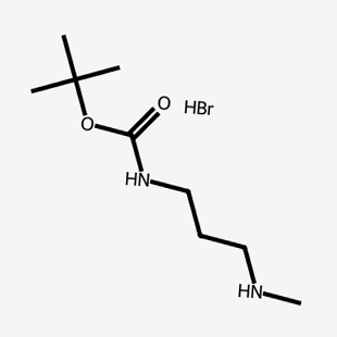 Br.CNCCCNC(=O)OC(C)(C)C